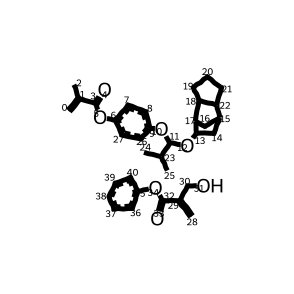 C=C(C)C(=O)Oc1ccc(OC(OC2CC3CC2C2CCCC32)C(C)C)cc1.C=C(CO)C(=O)Oc1ccccc1